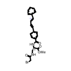 COC(=O)[C@H](CNC(=O)CBr)NC(=O)c1ccc(C#C/C=C/c2ccccc2)cc1